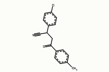 Cc1ccc(C(=O)CC(C#N)c2ccc(Cl)cc2)cc1